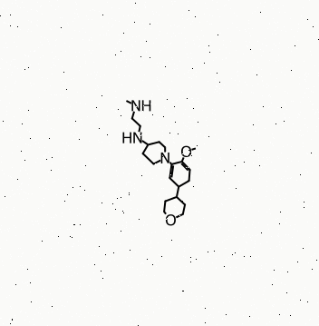 CNCCNC1CCN(C2=CC(C3CCOCC3)CC=C2OC)CC1